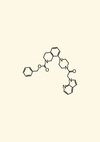 O=C(Cn1ccc2cccnc21)N1CCN(c2cccc3c2CN(C(=O)OCc2ccccc2)CC3)CC1